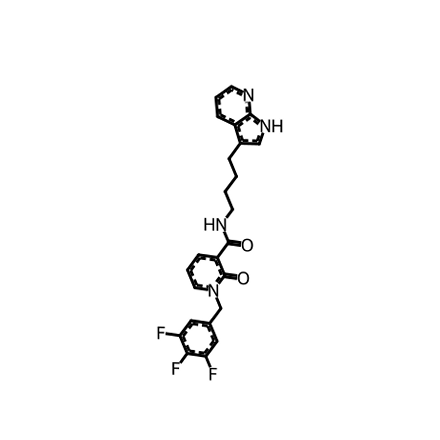 O=C(NCCCCc1c[nH]c2ncccc12)c1cccn(Cc2cc(F)c(F)c(F)c2)c1=O